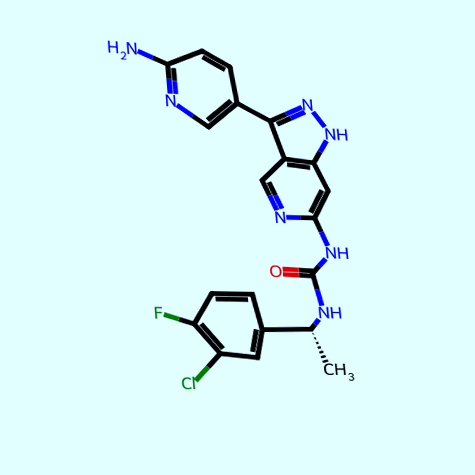 C[C@@H](NC(=O)Nc1cc2[nH]nc(-c3ccc(N)nc3)c2cn1)c1ccc(F)c(Cl)c1